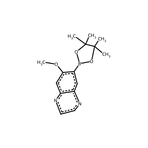 COc1cc2nccnc2cc1B1OC(C)(C)C(C)(C)O1